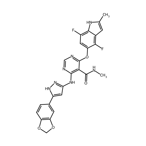 CNC(=O)c1c(Nc2cc(-c3ccc4c(c3)OCO4)[nH]n2)ncnc1Oc1cc(F)c2[nH]c(C)cc2c1F